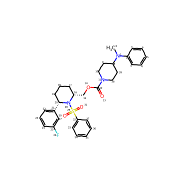 CN(c1ccccc1)C1CCN(C(=O)OC[C@H]2CCC[C@@H](c3cccc(F)c3)N2S(=O)(=O)c2ccccc2)CC1